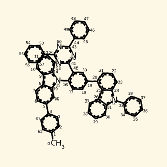 Cc1ccc(-c2ccc3c4ccccc4n(-c4ccc(-c5cccc6c5c5ccccc5n6-c5ccccc5)cc4-c4nc(-c5ccccc5)nc(-c5ccccc5)n4)c3c2)cc1